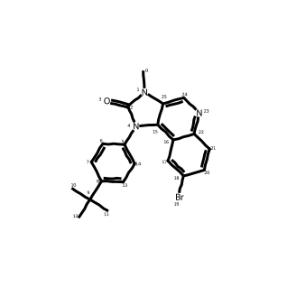 Cn1c(=O)n(-c2ccc(C(C)(C)C)cc2)c2c3cc(Br)ccc3ncc21